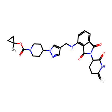 C=C1CCC(N2C(=O)c3cccc(NCc4cnn(C5CCN(C(=O)OC6(C)CC6)CC5)c4)c3C2=O)C(=O)N1